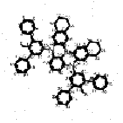 Cc1c(-c2ccccc2)cc(N2c3cc4c(cc3B3c5cc6c(cc5N(c5cc(-c7ccccc7)c(C)c(-c7ccccc7)c5)c5cccc2c53)CCCC6)CCCC4)cc1-c1ccccc1